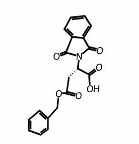 O=C(C[C@@H](C(=O)O)N1C(=O)c2ccccc2C1=O)OCc1ccccc1